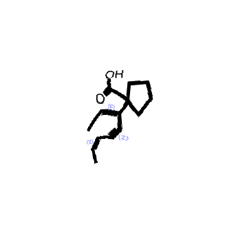 C\C=C/C=C\C(=C/C)C1(C(=O)O)CCCC1